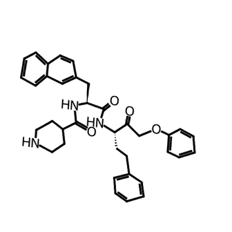 O=C(N[C@@H](Cc1ccc2ccccc2c1)C(=O)N[C@@H](CCc1ccccc1)C(=O)COc1ccccc1)C1CCNCC1